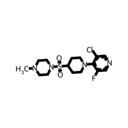 CN1CCN(S(=O)(=O)C2CCN(c3c(F)cncc3Cl)CC2)CC1